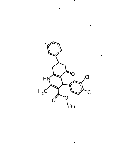 CCCCOC(=O)C1=C(C)NC2=C(C(=O)CC(c3ccccc3)C2)C1c1ccc(Cl)c(Cl)c1